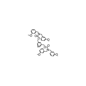 COc1cccc(CN(Cc2cccc(OC)c2)C(=O)OCc2cncc(COC(=O)N(Cc3cccc(OC)c3)Cc3cccc(OC)c3)c2)c1